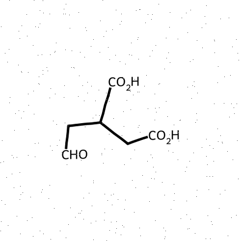 O=CCC(CC(=O)O)C(=O)O